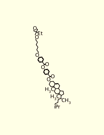 CCC1(COCCCCCCOc2ccc(C(=O)Oc3ccc(C(=O)OC4CCC5(C)C(=CCC6C5CCC5(C)C(C(C)CCCC(C)C)CCC65)C4)cc3)cc2)COC1